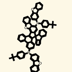 CC(C)(C)c1ccc(N(c2ccc3oc4ccccc4c3c2)c2ccc3c4c(c5ccccc5c3c2)-c2c(cc(N(c3ccc(C(C)(C)C)cc3)c3ccc5oc6ccccc6c5c3)c3c2oc2ccccc23)C42c3ccccc3-c3ccccc32)cc1